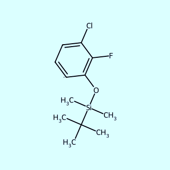 CC(C)(C)[Si](C)(C)Oc1[c]ccc(Cl)c1F